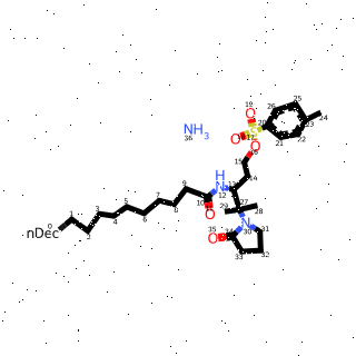 CCCCCCCCCCCCCCCCCCCC(=O)NC(CCOS(=O)(=O)c1ccc(C)cc1)C(C)(C)N1CCCC1=O.N